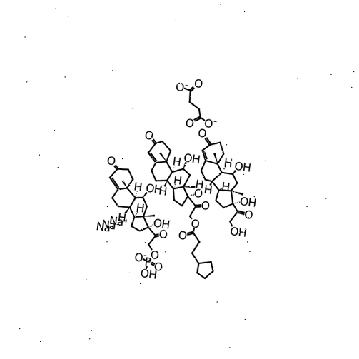 C[C@]12CCC(=O)C=C1CC[C@@H]1[C@@H]2[C@@H](O)C[C@@]2(C)[C@H]1CC[C@]2(O)C(=O)CO.C[C@]12CCC(=O)C=C1CC[C@@H]1[C@@H]2[C@@H](O)C[C@@]2(C)[C@H]1CC[C@]2(O)C(=O)COC(=O)CCC1CCCC1.C[C@]12CCC(=O)C=C1CC[C@@H]1[C@@H]2[C@@H](O)C[C@@]2(C)[C@H]1CC[C@]2(O)C(=O)COP(=O)([O-])O.O=C([O-])CCC(=O)[O-].[Na+].[Na+].[Na+]